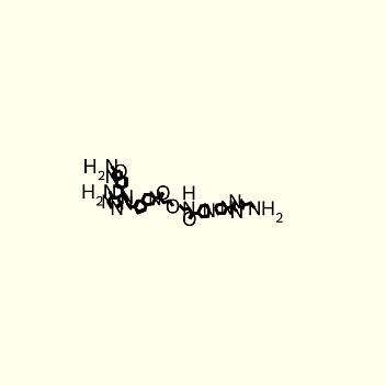 NCc1cnc(N2CCC(N3CCC(C(=O)NCCOCCC(=O)N4CCc5cc(Cn6nc(-c7ccc8oc(N)nc8c7)c7c(N)ncnc76)ccc5C4)CC3)CC2)nc1